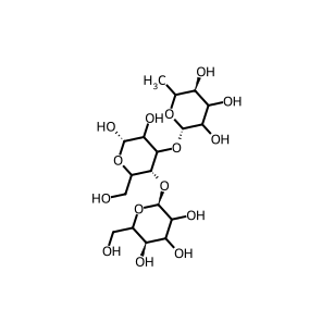 CC1O[C@@H](OC2C(O)[C@@H](O)OC(CO)[C@H]2O[C@@H]2OC(CO)[C@H](O)C(O)C2O)C(O)C(O)[C@@H]1O